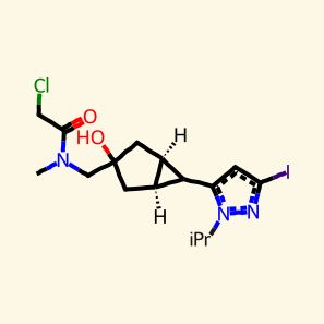 CC(C)n1nc(I)cc1C1[C@H]2CC(O)(CN(C)C(=O)CCl)C[C@@H]12